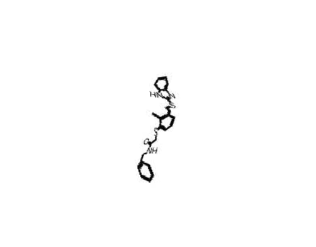 Cc1c(CSc2nc3ccccc3[nH]2)cccc1SCC(=O)NCc1ccccc1